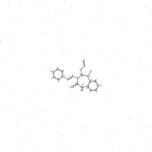 C=CCN1C(/C=C/c2ccccc2)C(=O)Nc2ccccc2C1C